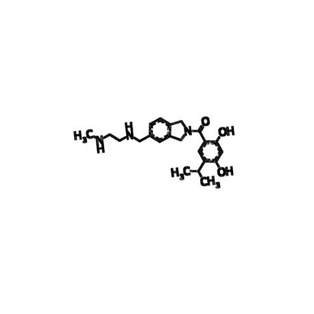 CNCCNCc1ccc2c(c1)CN(C(=O)c1cc(C(C)C)c(O)cc1O)C2